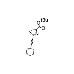 CC(C)(C)OC(=O)c1csc(C#Cc2ccccc2)n1